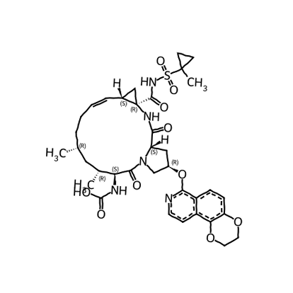 C[C@@H]1CCC=C[C@@H]2C[C@@]2(C(=O)NS(=O)(=O)C2(C)CC2)NC(=O)[C@@H]2C[C@@H](Oc3nccc4c5c(ccc34)OCCO5)CN2C(=O)[C@@H](NC(=O)O)[C@H](C)C1